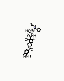 N#C/N=C(\NC[C@H](NC(=O)c1c(Cl)cc2c(c1Cl)CCN(C(=O)c1ccc3cn[nH]c3c1)C2)C(=O)O)N1CCCC1